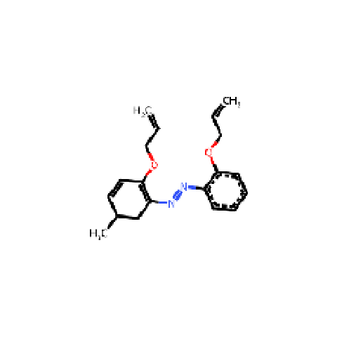 C=CCOC1=C(/N=N/c2ccccc2OCC=C)CC(C)C=C1